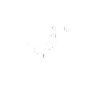 O=C1N[C@H](Cc2ccc(-c3cc(Cl)ccc3F)cc2)CC12CCNC2